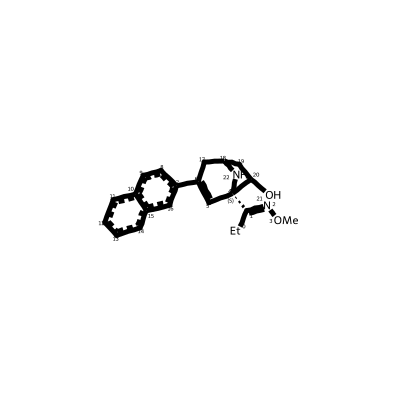 CCC(=NOC)[C@@]12C=C(c3ccc4ccccc4c3)CC(CC1O)N2